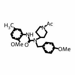 COc1ccc(CN(C(=O)Nc2cc(C)ccc2OC)C2CCN(C(C)=O)CC2)cc1